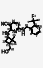 CC(C)(F)c1ncccc1CNc1ncc(C#N)c(N[C@@H]2C[C@H](CO)C2(C)C)n1